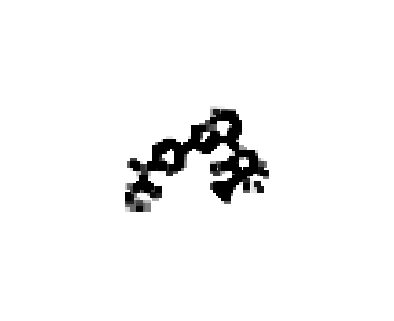 C[C@@H]1CN(c2ccnn3cc(-c4ccc(N(C)C(=O)OC(C)(C)C)nc4)cc23)C(=O)[C@]1(C#N)C1CC1